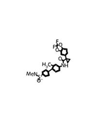 CN[S+]([O-])c1ccc(-c2ccc(NC(=O)C3(c4ccc5c(c4)OC(F)(F)O5)CC3)cc2C)cc1